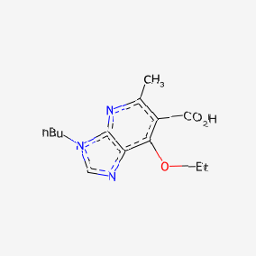 CCCCn1cnc2c(OCC)c(C(=O)O)c(C)nc21